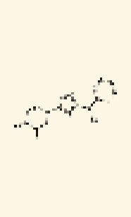 C=C1C=CC(c2noc(C(CC)c3ccccc3)n2)=CN1